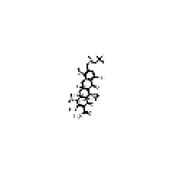 COc1c(CN(C)CC(F)(F)F)cc(O)c2c1C[C@H]1C[C@H]3[C@H](N(C)C)C(O)=C(C(N)=O)C(=O)[C@@]3(O)C(O)=C1C2=O